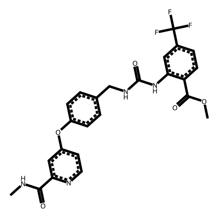 CNC(=O)c1cc(Oc2ccc(CNC(=O)Nc3cc(C(F)(F)F)ccc3C(=O)OC)cc2)ccn1